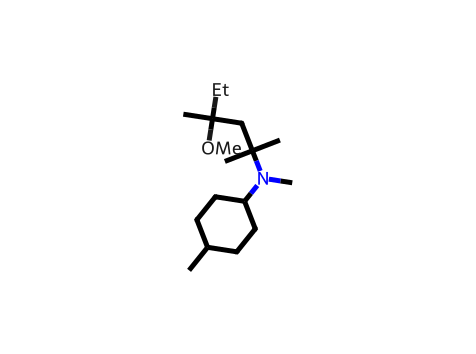 CCC(C)(CC(C)(C)N(C)C1CCC(C)CC1)OC